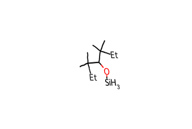 CCC(C)(C)C(O[SiH3])C(C)(C)CC